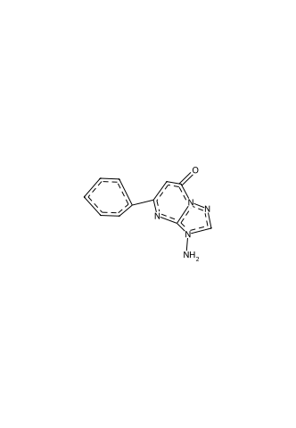 Nn1cnn2c(=O)cc(-c3ccccc3)nc12